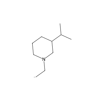 [CH2]CN1CCCC(C(C)C)C1